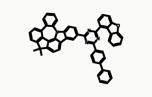 CC1(C)c2cccc3c2-c2c1ccc1c4cc(-c5nc(-c6ccc(-c7ccccc7)cc6)nc(-c6cccc7oc8ccccc8c67)n5)ccc4n(c21)-c1ccccc1-3